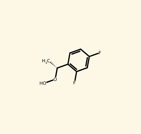 C[C@@H](OO)c1ccc(F)cc1F